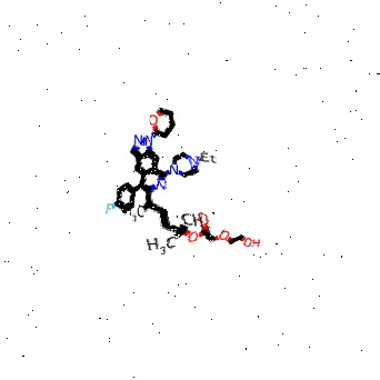 CCN1CCN(c2nc(C(C)CCC(C)(C)OC(=O)COCCO)c(-c3ccc(F)cc3)c3cc4cnn(C5CCCCO5)c4cc23)CC1